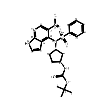 CC(C)(C)OC(=O)N[C@H]1CC[C@@H](N(c2c([N+](=O)[O-])cnc3[nH]ccc23)S(=O)(=O)c2ccccc2)C1